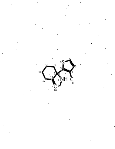 CN[C@]1(c2sccc2Cl)CCCCC1=O